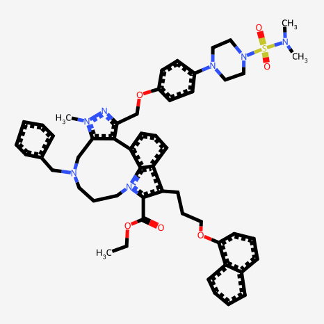 CCOC(=O)c1c(CCCOc2cccc3ccccc23)c2cccc3c2n1CCCN(Cc1ccccc1)Cc1c-3c(COc2ccc(N3CCN(S(=O)(=O)N(C)C)CC3)cc2)nn1C